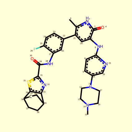 Cc1[nH]c(=O)c(Nc2ccc(N3CCN(C)CC3)cn2)cc1-c1ccc(F)c(NC(=O)c2nc3c(s2)C2CCC3CC2)c1